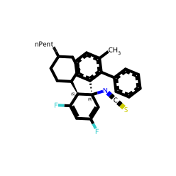 CCCCCC1CCC([C@@H]2C(F)=CC(F)=C[C@@]2(N=C=S)c2cccc(C)c2-c2ccccc2)CC1